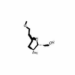 COCCC1C[C@@H](O)[C@@H](CO)O1